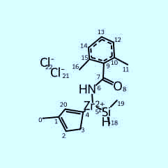 CC1=CC[C]([Zr+2]([NH]C(=O)c2c(C)cccc2C)[SiH](C)C)=C1.[Cl-].[Cl-]